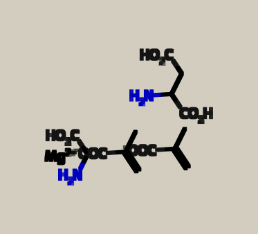 C=C(C)C(=O)[O-].C=C(C)C(=O)[O-].NC(CC(=O)O)C(=O)O.NCC(=O)O.[Mg+2]